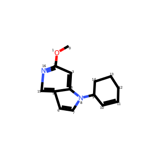 COc1cc2c(ccn2C2C=CCCC2)cn1